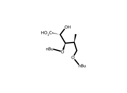 CCCCOC[C@H](C)[C@@H](OCCCC)[C@@H](O)C(=O)O